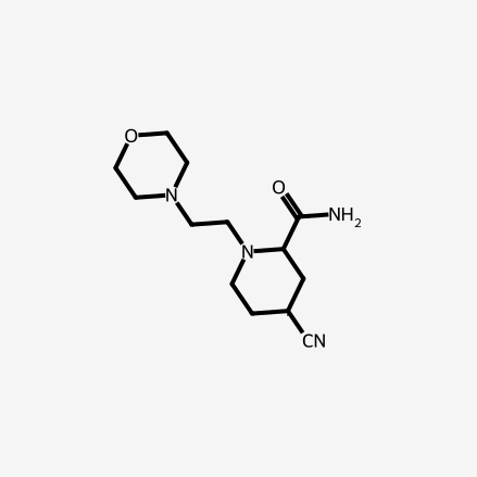 N#C[C]1CCN(CCN2CCOCC2)C(C(N)=O)C1